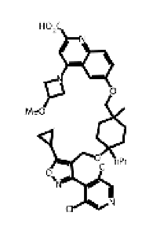 CCCC1(OCc2c(-c3c(Cl)cncc3Cl)noc2C2CC2)CCC(C)(COc2ccc3nc(C(=O)O)cc(N4CC(OC)C4)c3c2)CC1